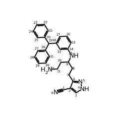 N#Cc1c[nH]nc1CCC(CCN)Nc1cccc(C(c2ccccc2)c2ccccc2)c1